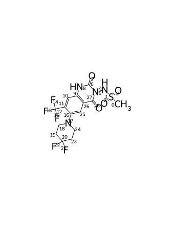 CS(=O)(=O)Nn1c(=O)[nH]c2cc(C(F)(F)F)c(N3CCC(F)(F)CC3)cc2c1=O